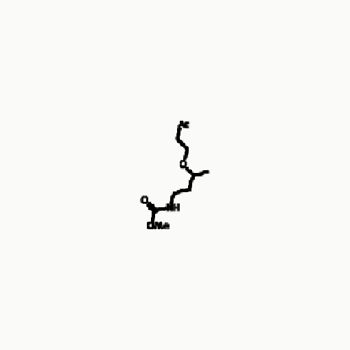 COC(=O)NCCC(C)OCCC(C)=O